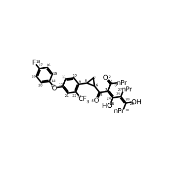 CCCC(=O)/C(C(=O)C1CC1c1ccc(Oc2ccc(F)cc2)cc1C(F)(F)F)=C(O)\C(CCC)=C(\O)CCC